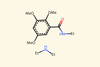 CCNC(=O)c1cc(OC)cc(OC)c1OC.CCNCC